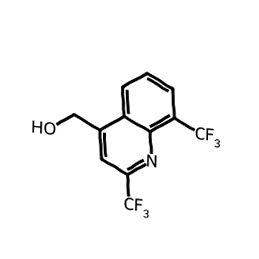 OCc1cc(C(F)(F)F)nc2c(C(F)(F)F)cccc12